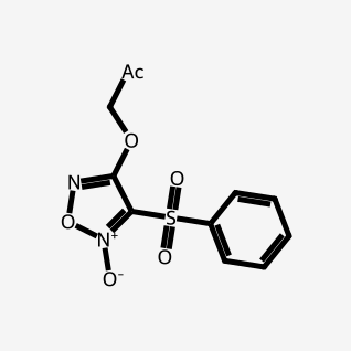 CC(=O)COc1no[n+]([O-])c1S(=O)(=O)c1ccccc1